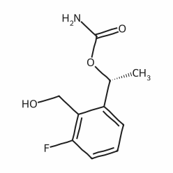 C[C@@H](OC(N)=O)c1cccc(F)c1CO